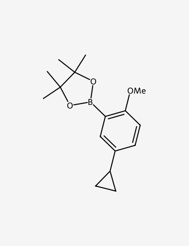 COc1ccc(C2CC2)cc1B1OC(C)(C)C(C)(C)O1